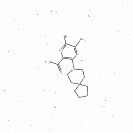 NC(=O)c1nc(S)c(N)nc1N1CCC2(CCCC2)CC1